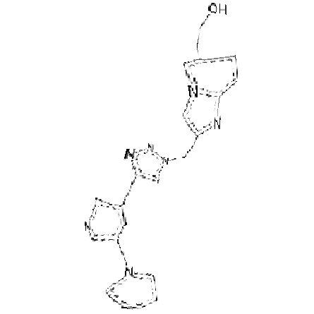 OCc1ccc2nc(Cn3cc(-c4cncc(-n5cccc5)c4)nn3)cn2c1